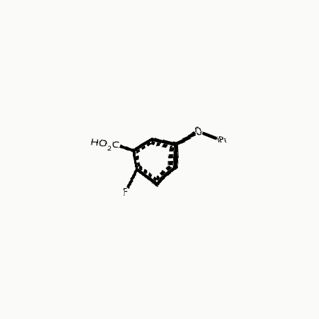 CC(C)Oc1ccc(F)c(C(=O)O)c1